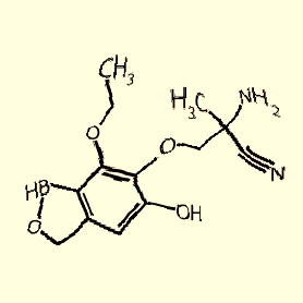 CCOc1c2c(cc(O)c1OCC(C)(N)C#N)COB2